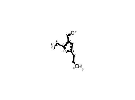 CCCc1cc(C=O)c(C=O)s1